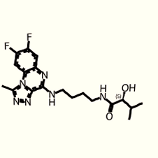 Cc1nnc2c(NCCCCNC(=O)[C@@H](O)C(C)C)nc3cc(F)c(F)cc3n12